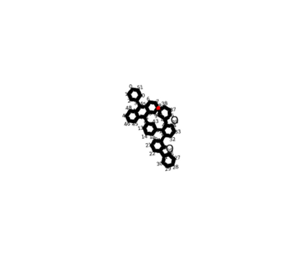 c1ccc(-c2c3ccccc3c(-c3cccc(-c4c(-c5cccc6c5oc5ccccc56)ccc5oc6ccccc6c45)c3)c3ccccc23)cc1